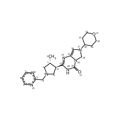 C[C@H]1CN(Cc2ncccn2)C[C@@H]1C1=NC2=CN(C3CCOCC3)CN2C(=O)N1